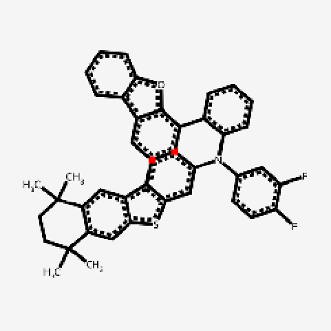 CC1(C)CCC(C)(C)c2cc3c(cc21)sc1cc(N(c2ccc(F)c(F)c2)c2ccccc2-c2cccc4c2oc2ccccc24)ccc13